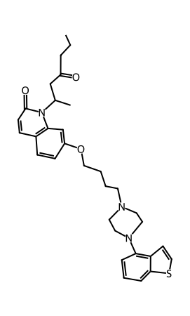 CCCC(=O)CC(C)n1c(=O)ccc2ccc(OCCCCN3CCN(c4cccc5sccc45)CC3)cc21